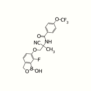 CC(C#N)(COc1ccc2c(c1F)B(O)OC2)NC(=O)c1ccc(OC(F)(F)F)cc1